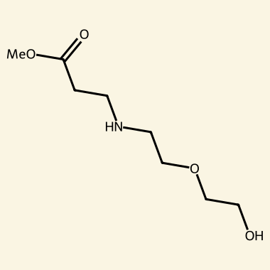 COC(=O)CCNCCOCCO